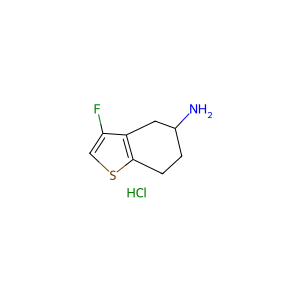 Cl.NC1CCc2scc(F)c2C1